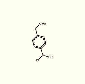 COSc1ccc(B(O)O)cc1